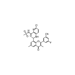 Cc1cc(C(C)Nc2ccc(Cl)nc2C(=O)NS(C)(=O)=O)c2oc(-c3cc(F)cc(C#N)c3)c(C)c(=O)c2c1